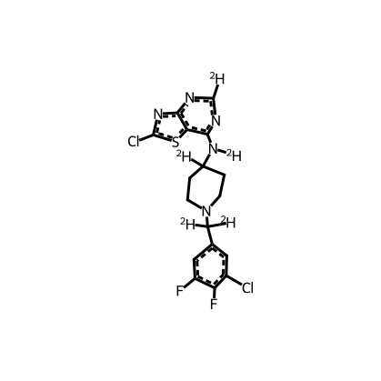 [2H]c1nc(N([2H])C2([2H])CCN(C([2H])([2H])c3cc(F)c(F)c(Cl)c3)CC2)c2sc(Cl)nc2n1